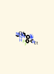 CCN1CC(n2nnc3cc(-c4ccnc(Nc5ccnn5C)n4)ccc32)[C@H](c2ccc(F)c(F)c2)C1